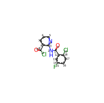 O=C(Nc1ncccc1C(=O)Cl)c1cc(F)ccc1Cl